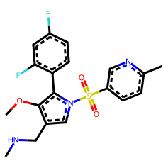 CNCc1cn(S(=O)(=O)c2ccc(C)nc2)c(-c2ccc(F)cc2F)c1OC